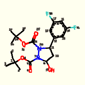 CC(C)(C)OC(=O)N1C(O)CC(c2cc(F)cc(F)c2)N1C(=O)OC(C)(C)C